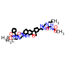 CCCN(Cc1nc(-c2ccc3c(c2)COc2cc4c(ccc5nc(CN(CCC)C(=O)C(NC(=O)OC)c6ccccc6)[nH]c54)cc2-3)c[nH]1)C(=O)CNC(=O)OC